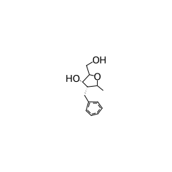 CC1OC(CO)[C@@H](O)[C@H]1Cc1ccccc1